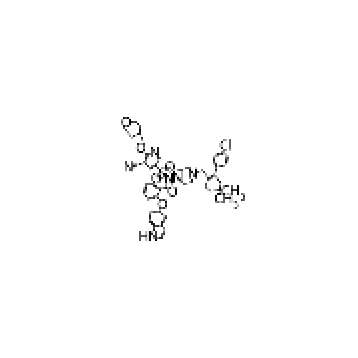 CC1(C)CCC(CN2CCN(N(C(=O)c3ccccc3Oc3ccc4[nH]ccc4c3)S(=O)(=O)c3cnc(OCC4CCOCC4)c(C#N)c3)CC2)=C(c2ccc(Cl)cc2)C1